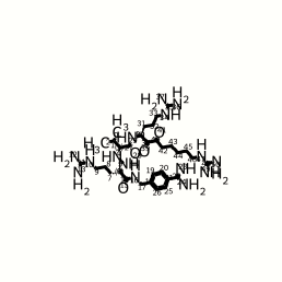 CC(C)[C@H](NN[C@@H](CCCNC(N)N)C(=O)NCc1ccc(C(=N)N)cc1)C(=O)N[C@@H](CCCNC(N)N)C(=O)C(=O)CCCCCNC(=N)N